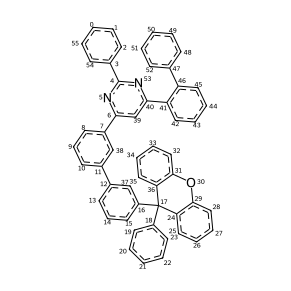 c1ccc(-c2nc(-c3cccc(-c4cccc(C5(c6ccccc6)c6ccccc6Oc6ccccc65)c4)c3)cc(-c3ccccc3-c3ccccc3)n2)cc1